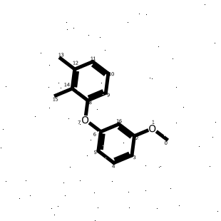 COc1cccc(Oc2cccc(C)c2C)c1